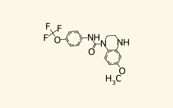 COc1ccc2c(c1)NCCN2C(=O)Nc1ccc(OC(F)(F)F)cc1